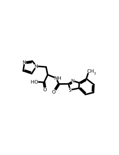 Cc1cccc2sc(C(=O)NC(Cn3ccnc3)C(=O)O)nc12